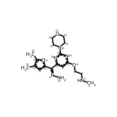 CNCCOc1cc(/C(=N\N)c2cc(C)c(C)o2)nc(N2CCOCC2)n1